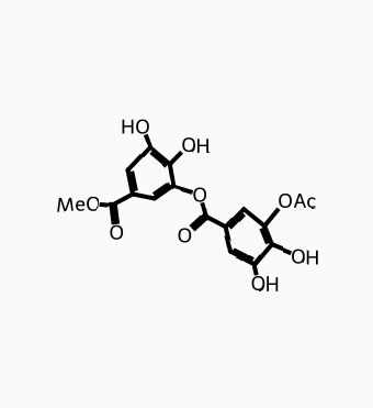 COC(=O)c1cc(O)c(O)c(OC(=O)c2cc(O)c(O)c(OC(C)=O)c2)c1